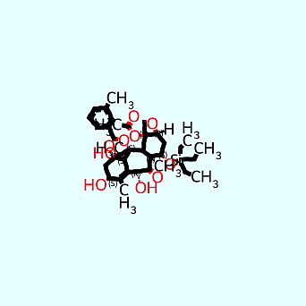 CC[Si](CC)(CC)O[C@H]1C[C@H]2OC[C@@]2(OC(C)=O)C2[C@@]3(OC(=O)c4cccc(C)c4)[C@]4(O)C[C@H](O)C(C)=C([C@@H](O)C(=O)[C@@]21C)[C@@]43C